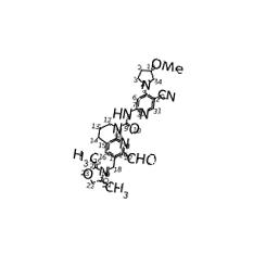 CO[C@@H]1CCN(c2cc(NC(=O)N3CCCc4cc(CN5C(C)COC5C)c(C=O)nc43)ncc2C#N)C1